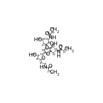 C=CC(=O)NCCC(CCO)OCC(COC(CCO)CCNC(=O)C=C)OC(CCO)CCNC(=O)C=C